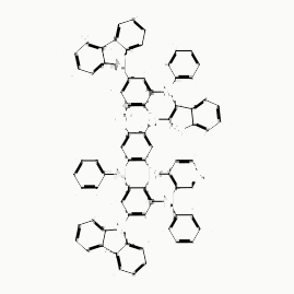 c1ccc(N2c3cnccc3B3c4cc5c(cc4N(c4ccccc4)c4cc(-n6c7ccccc7c7ccccc76)cc2c43)Oc2cc(-n3c4ccccc4c4ccccc43)cc3c2B5c2sc4ccccc4c2N3c2ccccc2)cc1